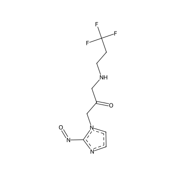 O=Nc1nccn1CC(=O)CNCCC(F)(F)F